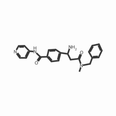 CN(Cc1ccccc1)C(=O)CC(N)c1ccc(C(=O)Nc2ccncc2)cc1